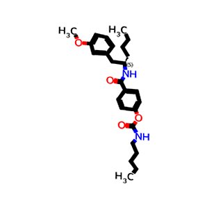 CCCCCNC(=O)Oc1ccc(C(=O)N[C@@H](CCCC)Cc2cccc(OC)c2)cc1